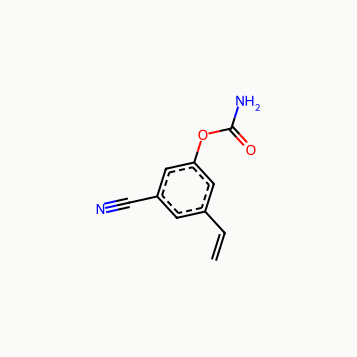 C=Cc1cc(C#N)cc(OC(N)=O)c1